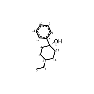 CC[C@H]1CC[C@@](O)(c2ccccc2)CC1